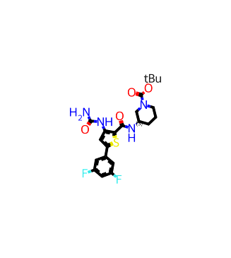 CC(C)(C)OC(=O)N1CCC[C@H](NC(=O)c2sc(-c3cc(F)cc(F)c3)cc2NC(N)=O)C1